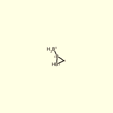 BB1BC1